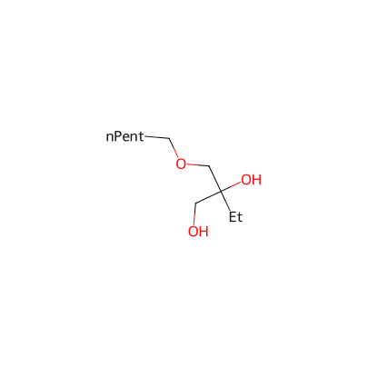 CCCCCCOCC(O)(CC)CO